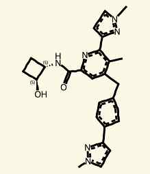 Cc1c(Cc2ccc(-c3ccn(C)n3)cc2)cc(C(=O)N[C@H]2CC[C@@H]2O)nc1-c1ccn(C)n1